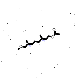 COC/C(C)=C/CC/C(C)=C/COC(C)=O